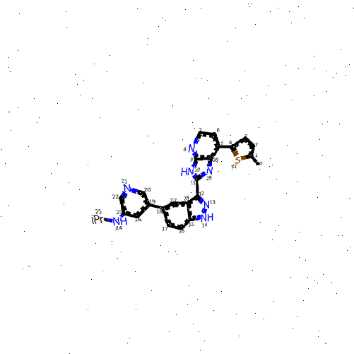 Cc1ccc(-c2ccnc3[nH]c(-c4n[nH]c5ccc(-c6cncc(NC(C)C)c6)cc45)nc23)s1